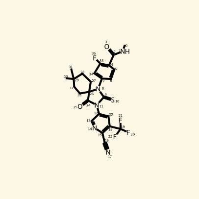 CNC(=O)c1ccc(N2C(=S)N(c3cnc(C#N)c(C(F)(F)F)c3)C(=O)C23CCC(C)(C)CC3)cc1F